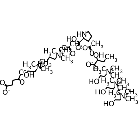 CC(=O)[O-].CC(=O)[O-].CCC(O)C(=O)[O-].C[N+](C)(C)CCO.C[N+](C)(C)CCO.C[N+](C)(C)CCO.C[N+](C)(C)CCO.C[N+](C)(C)CCO.O=C(O)[C@@H]1CCCN1.O=C([O-])CCC(=O)[O-]